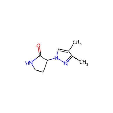 Cc1cn(C2CCNC2=O)nc1C